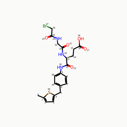 Cc1ccc(Cc2ccc(NC(=O)[C@H](CCC(=O)O)NC(=O)CNC(=O)CBr)cc2)s1